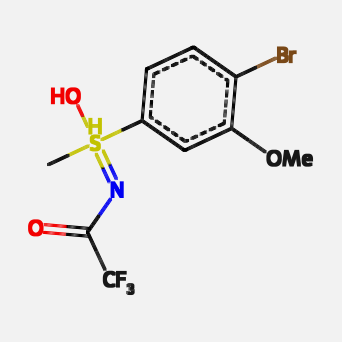 COc1cc([SH](C)(O)=NC(=O)C(F)(F)F)ccc1Br